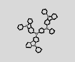 C1=CC2c3cc(N(c4ccc(N(c5ccccc5)c5ccc6c(c5)c5ccccc5n6-c5ccccc5)cc4)c4ccc5c(c4)c4ccccc4n5-c4ccccc4)ccc3N(c3ccccc3)C2C=C1